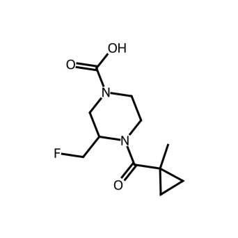 CC1(C(=O)N2CCN(C(=O)O)CC2CF)CC1